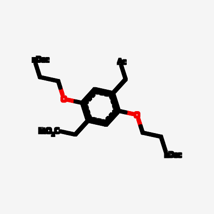 CCCCCCCCCCCCOc1cc(CC(=O)OCC)c(OCCCCCCCCCCCC)cc1CC(C)=O